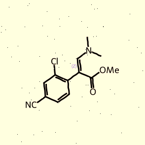 COC(=O)/C(=C\N(C)C)c1ccc(C#N)cc1Cl